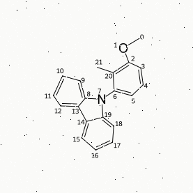 COc1cccc(-n2c3ccccc3c3ccccc32)c1C